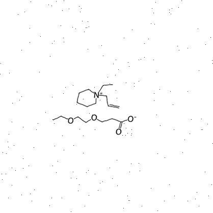 C=CC[N+]1(CC)CCCCC1.CCOCCOCCC(=O)[O-]